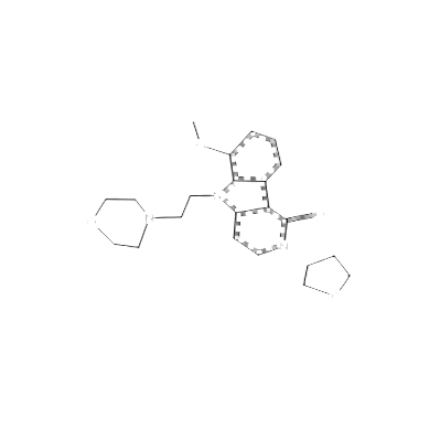 COc1cccc2c3c(=O)n([C@@H]4CCOC4)ccc3n(CCN3CCOCC3)c12